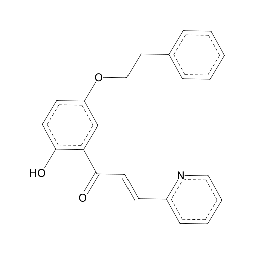 O=C(C=Cc1ccccn1)c1cc(OCCc2ccccc2)ccc1O